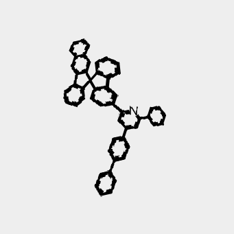 c1ccc(-c2ccc(-c3cc(-c4ccccc4)nc(-c4ccc5c(c4)-c4ccccc4C54c5ccccc5-c5cc6ccccc6cc54)c3)cc2)cc1